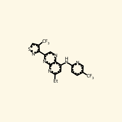 CCc1cc(Nc2ccc(C(F)(F)F)cn2)c2ncc(-c3nscc3C(F)(F)F)nc2n1